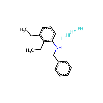 CCc1cccc(NCc2ccccc2)c1CC.F.F.F.F